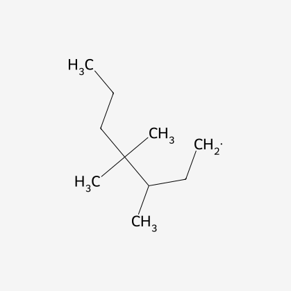 [CH2]CC(C)C(C)(C)CCC